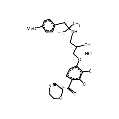 COc1ccc(CC(C)(C)NCC(O)COc2ccc(C(=O)[C@H]3C#[N+]CCO3)c(Cl)c2Cl)cc1.Cl